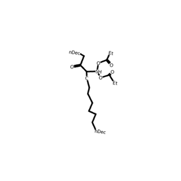 CCCCCCCCCCCCCCCCCC(C(=O)CCCCCCCCCCC)[SH](OC(=O)CC)OC(=O)CC